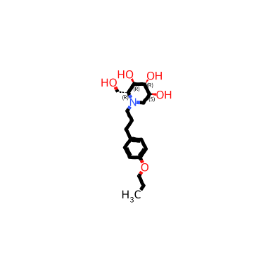 CCCOc1ccc(CCCN2C[C@H](O)[C@@H](O)[C@H](O)[C@H]2CO)cc1